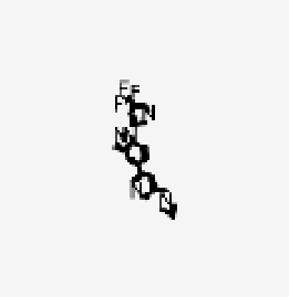 FC(F)(F)c1cncc(-n2ncc3cc(-c4cncc(CN5CCC5)c4)ccc32)c1